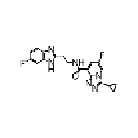 O=C(NCCc1nc2ccc(F)cc2[nH]1)c1cc(F)cn2c(C3CC3)nnc12